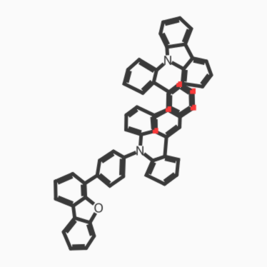 c1cc(-c2ccccc2-c2ccccc2-n2c3ccccc3c3ccccc32)cc(N(c2ccc(-c3cccc4c3oc3ccccc34)cc2)c2ccccc2-c2ccc3ccccc3c2)c1